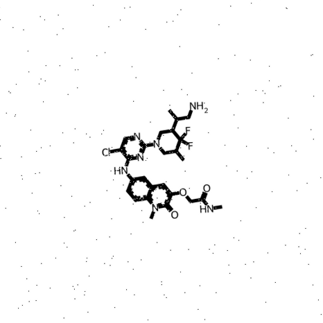 CNC(=O)COc1cc2cc(Nc3nc(N4CC(C)C(F)(F)C(C(C)CN)C4)ncc3Cl)ccc2n(C)c1=O